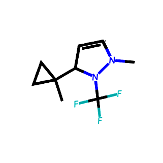 CN1[C]=CC(C2(C)CC2)N1C(F)(F)F